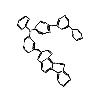 c1ccc(-c2cccc(-c3ccc(N(c4ccccc4)c4cccc(-c5ccc6c(ccc7c8ccccc8ccc67)c5)c4)cc3)c2)cc1